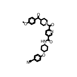 COc1ccc(C(=O)C2CCN(C(=O)c3ccc(C(=O)N[C@H]4CC[C@@H](Oc5ccc(C#N)cc5)CC4)cn3)CC2)cc1